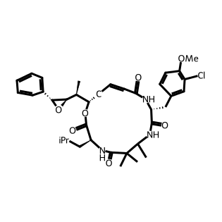 COc1ccc(C[C@H]2NC(=O)/C=C/C[C@@H]([C@H](C)[C@H]3O[C@@H]3c3ccccc3)OC(=O)[C@H](CC(C)C)NC(=O)C(C)(C)C(C)NC2=O)cc1Cl